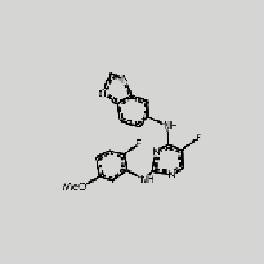 COc1ccc(F)c(Nc2ncc(F)c(Nc3ccc4ocnc4c3)n2)c1